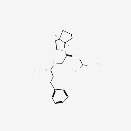 CC(O)C(=O)O.CCOC(=O)[C@H](CCc1ccccc1)N[C@@H](C)C(=O)N1[C@H](C(=O)O)C[C@@H]2CCC[C@@H]21